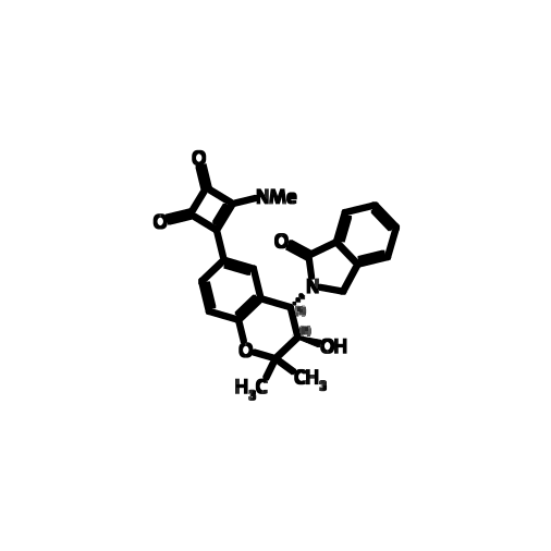 CNc1c(-c2ccc3c(c2)[C@H](N2Cc4ccccc4C2=O)[C@@H](O)C(C)(C)O3)c(=O)c1=O